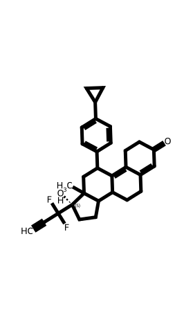 C#CC(F)(F)[C@]1(O)CCC2C3CCC4=CC(=O)CCC4=C3C(c3ccc(C4CC4)cc3)CC21C